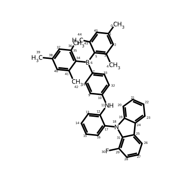 Cc1cc(C)c(B(c2ccc(Nc3ccccc3-n3c4ccccc4c4cccc(F)c43)cc2)c2c(C)cc(C)cc2C)c(C)c1